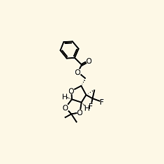 CC1(C)O[C@H]2O[C@H](COC(=O)c3ccccc3)[C@]3(CC3(F)F)[C@H]2O1